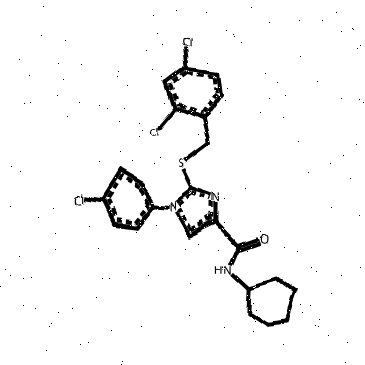 O=C(NC1CCCCC1)c1cn(-c2ccc(Cl)cc2)c(SCc2ccc(Cl)cc2Cl)n1